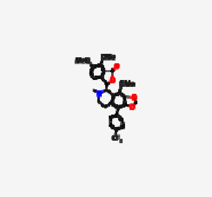 COc1ccc2c(c1OC)C(=O)OC2[C@H]1c2c(c(-c3ccc(C(F)(F)F)cc3)c3c(c2OC)OCO3)CCN1C